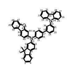 CC1(C)c2ccccc2-c2ccc(N(c3ccc(-c4cccc(-n5c6ccccc6c6ccccc65)c4)cc3)c3ccc4c(c3)oc3ccccc34)cc21